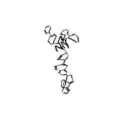 c1ccc(-c2ccc(-c3nc(-c4ccc(-c5ccc6ccc(-c7cccc8c7oc7ccccc78)cc6c5)cc4)nc(-c4ccccc4-c4ccccc4)n3)cc2)cc1